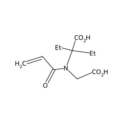 C=CC(=O)N(CC(=O)O)C(CC)(CC)C(=O)O